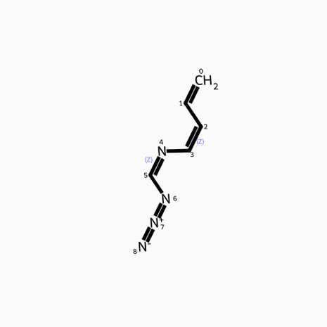 C=C/C=C\N=C/N=[N+]=[N-]